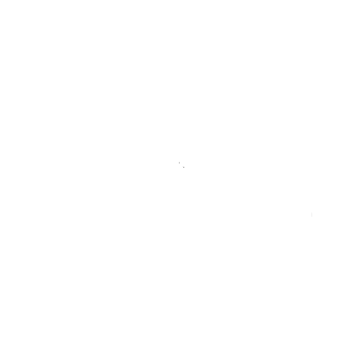 CC(C)(C)c1ccc2c(c1)C1(c3ccccc3-c3ccccc31)c1cccc(N(c3ccc(-c4ccccc4)cc3)c3ccc4c(c3)C(C)(C)c3ccccc3-4)c1-2